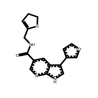 O=C(NCC1=CCCO1)c1cnc2[nH]cc(-c3ccoc3)c2c1